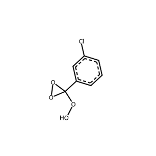 OOC1(c2cccc(Cl)c2)OO1